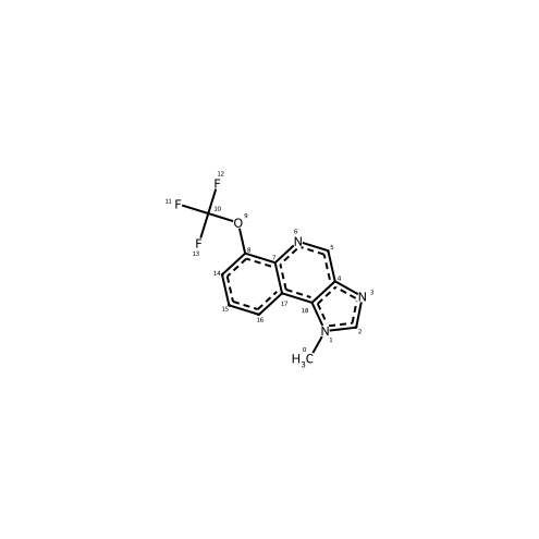 Cn1cnc2cnc3c(OC(F)(F)F)cccc3c21